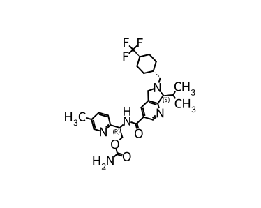 Cc1ccc([C@H](COC(N)=O)NC(=O)c2cnc3c(c2)CN(C[C@H]2CC[C@H](C(F)(F)F)CC2)[C@H]3C(C)C)nc1